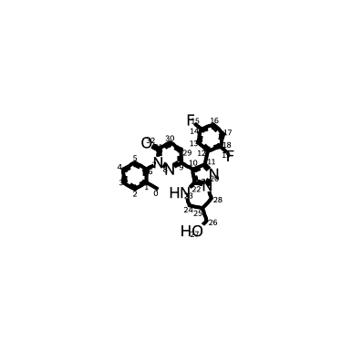 Cc1ccccc1-n1nc(-c2c(-c3cc(F)ccc3F)nn3c2NCC(CO)C3)ccc1=O